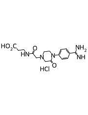 Cl.N=C(N)c1ccc(N2CCN(CC(=O)NCCC(=O)O)CC2=O)cc1